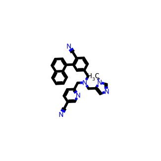 Cn1cncc1CN(Cc1ccc(C#N)c(-c2cccc3ccccc23)c1)Cc1ccc(C#N)cn1